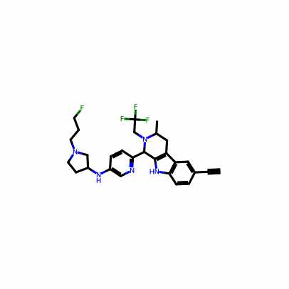 C#Cc1ccc2[nH]c3c(c2c1)CC(C)N(CC(F)(F)F)C3c1ccc(NC2CCN(CCCF)C2)cn1